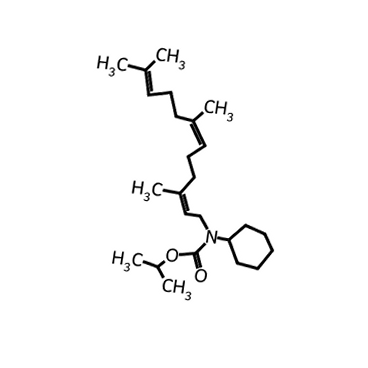 CC(C)=CCCC(C)=CCCC(C)=CCN(C(=O)OC(C)C)C1CCCCC1